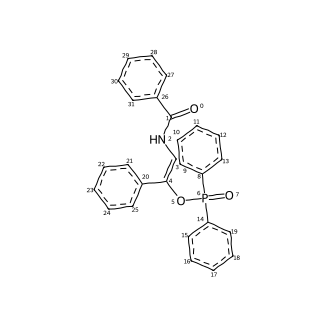 O=C(NC=C(OP(=O)(c1ccccc1)c1ccccc1)c1ccccc1)c1ccccc1